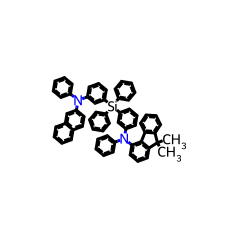 CC1(C)c2ccccc2-c2c(N(c3ccccc3)c3cccc([Si](c4ccccc4)(c4ccccc4)c4cccc(N(c5ccccc5)c5ccc6ccccc6c5)c4)c3)cccc21